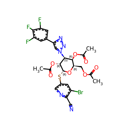 CC(=O)OC[C@H]1O[C@H](Sc2cnc(C#N)c(Br)c2)[C@H](OC(C)=O)[C@@H](n2cc(-c3cc(F)c(F)c(F)c3)nn2)[C@H]1OC(C)=O